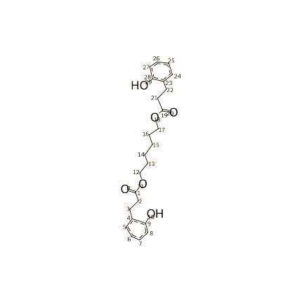 O=C(CCc1ccccc1O)OCCCCCCOC(=O)CCc1ccccc1O